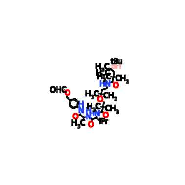 CC(C)C(NC(=O)C(C)(C)COC(C)(C)CCNC(=O)C(C)(C)CC(C)(C)BC(C)(C)C)C(=O)N[C@@H](C)C(=O)Nc1ccc(COC=O)cc1